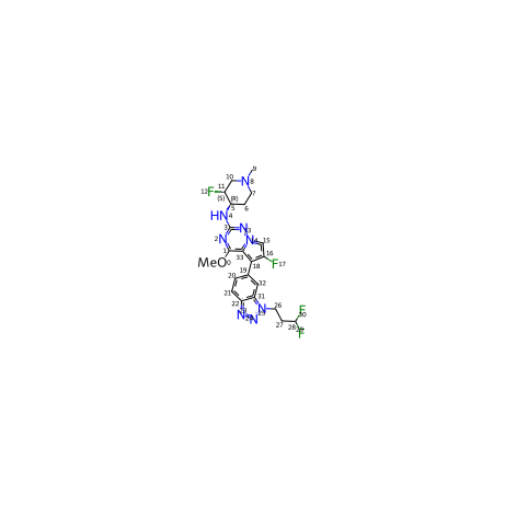 COc1nc(N[C@@H]2CCN(C)C[C@@H]2F)nn2cc(F)c(-c3ccc4nnn(CCC(F)F)c4c3)c12